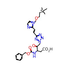 C[Si](C)(C)CCOCn1ccnc1C=Cc1nnn(CC(=O)C(CC(=O)O)NC(=O)OCc2ccccc2)n1